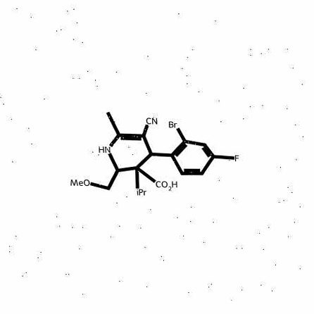 COCC1NC(C)=C(C#N)C(c2ccc(F)cc2Br)C1(C(=O)O)C(C)C